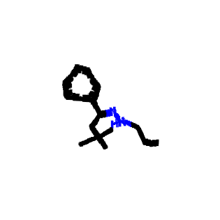 C=CCNN=C(CC(C)(C)C)c1ccccc1